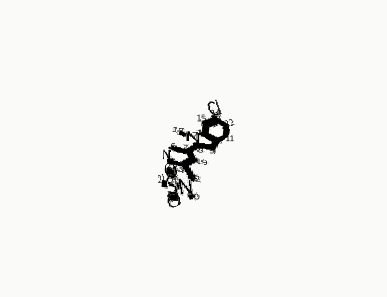 CN(Cc1cncc(-c2cc3ccc(Cl)cc3n2C)c1)S(C)(=O)=O